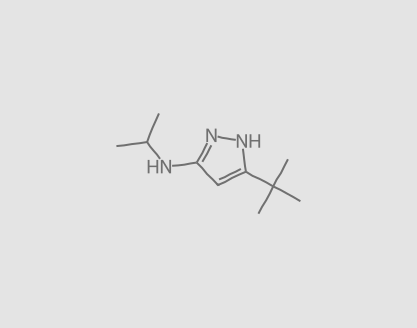 CC(C)Nc1cc(C(C)(C)C)[nH]n1